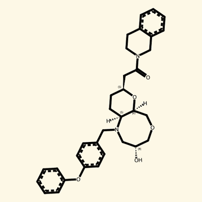 O=C(C[C@@H]1CC[C@H]2[C@H](COC[C@H](O)CN2Cc2ccc(Oc3ccccc3)cc2)O1)N1CCc2ccccc2C1